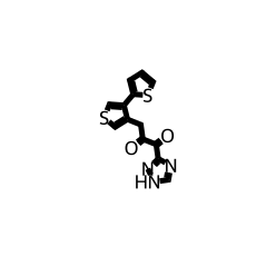 O=C(Cc1cscc1-c1cccs1)C(=O)c1nc[nH]n1